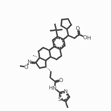 CON=C1C[C@@H](CCC(=O)Nc2ncc(C)s2)C2C3CCc4cc(C(CC(=O)O)C5CCCC5)c(C(C)(C)C)cc4C3CC[C@]12C